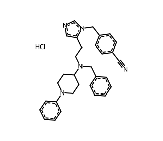 Cl.N#Cc1ccc(Cn2cncc2CCN(Cc2ccccc2)C2CCN(c3ccccc3)CC2)cc1